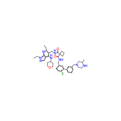 CCc1nc2c(cnn2CC)c(NC2CCOCC2)c1CNC(=O)C1(C(=O)NCc2ccc(F)c(-c3cccc(CN4CCNC(C)C4)c3)c2)CCC1